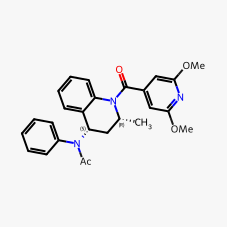 COc1cc(C(=O)N2c3ccccc3[C@@H](N(C(C)=O)c3ccccc3)C[C@H]2C)cc(OC)n1